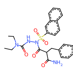 CCN(CC)C(=O)NN(C(=O)C(Cc1ccccc1)C(N)=O)S(=O)(=O)c1ccc2ccccc2c1